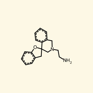 NCCN1Cc2ccccc2C2(Cc3ccccc3O2)C1